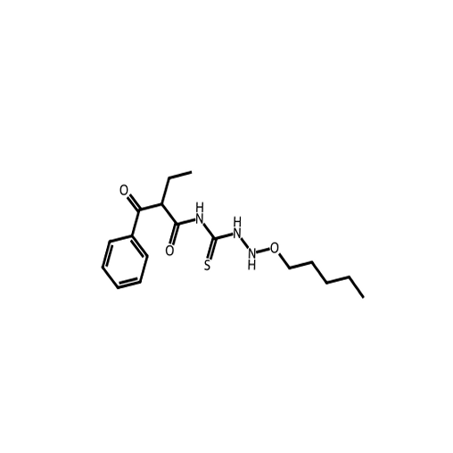 CCCCCONNC(=S)NC(=O)C(CC)C(=O)c1ccccc1